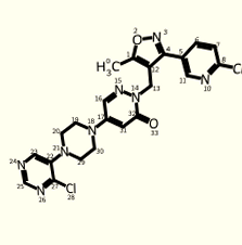 Cc1onc(-c2ccc(Cl)nc2)c1Cn1ncc(N2CCN(c3cncnc3Cl)CC2)cc1=O